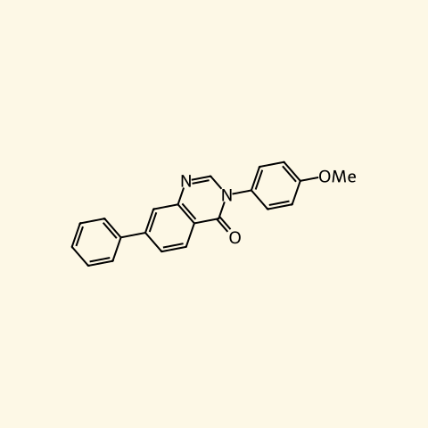 COc1ccc(-n2cnc3cc(-c4ccccc4)ccc3c2=O)cc1